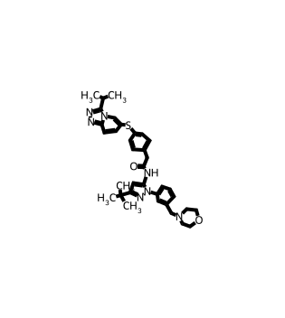 CC(C)c1nnc2ccc(Sc3ccc(CC(=O)Nc4cc(C(C)(C)C)nn4-c4cccc(CN5CCOCC5)c4)cc3)cn12